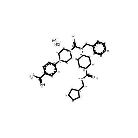 Cl.Cl.N=C(N)c1ccc(N2CCN(C(=O)N(Cc3ccccc3)[C@H]3CC[C@H](C(=O)OCC4CCCC4)CC3)CC2)cc1